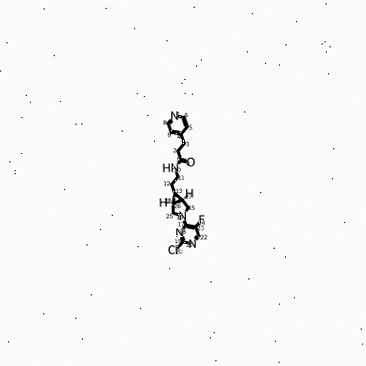 O=C(CCc1ccncc1)NCCC1[C@H]2CN(c3nc(Cl)ncc3F)C[C@@H]12